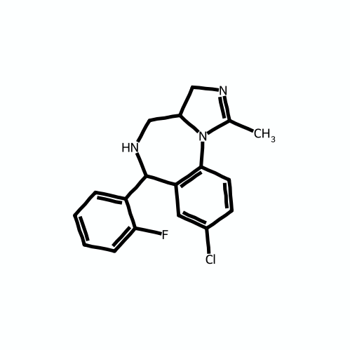 CC1=NCC2CNC(c3ccccc3F)c3cc(Cl)ccc3N12